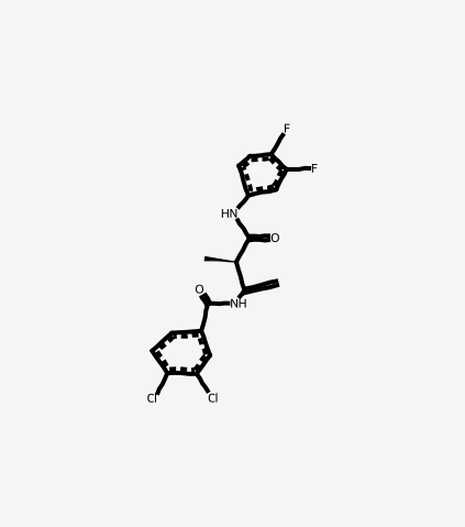 C=C(NC(=O)c1ccc(Cl)c(Cl)c1)[C@@H](C)C(=O)Nc1ccc(F)c(F)c1